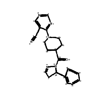 N#Cc1cncnc1N1CCC(C(=O)N2N=CCC2c2ccccc2)CC1